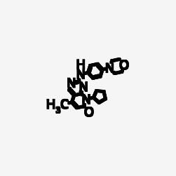 Cc1cc(=O)n(C2CCCC2)c2nc(Nc3ccc(N4CCOCC4)cc3)ncc12